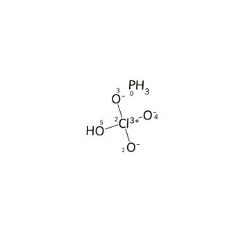 P.[O-][Cl+3]([O-])([O-])O